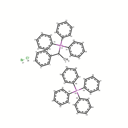 CC(c1ccccc1)[P+](c1ccccc1)(c1ccccc1)c1ccccc1.[Br-].[Cl-].c1ccc([P+](c2ccccc2)(c2ccccc2)c2ccccc2)cc1